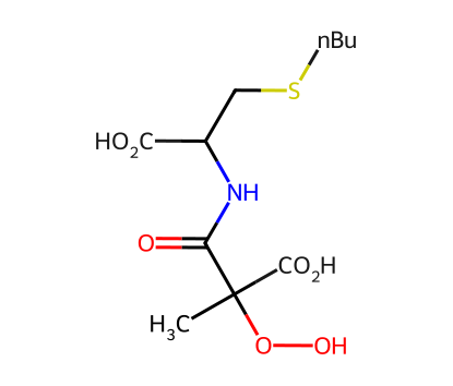 CCCCSCC(NC(=O)C(C)(OO)C(=O)O)C(=O)O